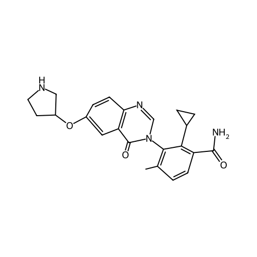 Cc1ccc(C(N)=O)c(C2CC2)c1-n1cnc2ccc(OC3CCNC3)cc2c1=O